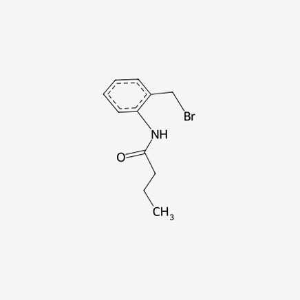 CCCC(=O)Nc1ccccc1CBr